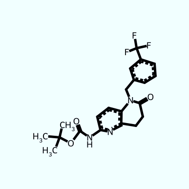 CC(C)(C)OC(=O)Nc1ccc2c(n1)CCC(=O)N2Cc1cccc(C(F)(F)F)c1